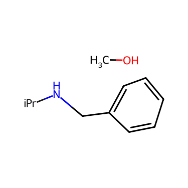 CC(C)NCc1ccccc1.CO